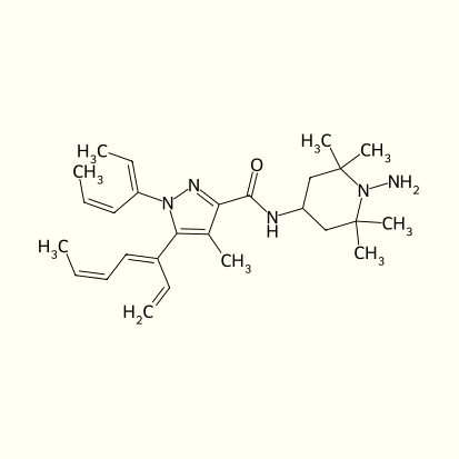 C=C/C(=C\C=C/C)c1c(C)c(C(=O)NC2CC(C)(C)N(N)C(C)(C)C2)nn1C(/C=C\C)=C/C